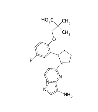 CC(C)(COc1ccc(F)cc1C1CCCN1c1ccn2ncc(N)c2n1)C(=O)O